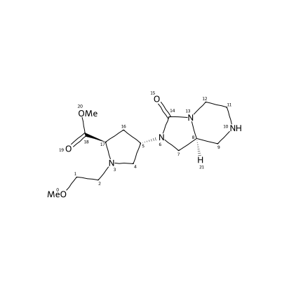 COCCN1C[C@@H](N2C[C@@H]3CNCCN3C2=O)C[C@@H]1C(=O)OC